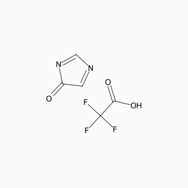 O=C(O)C(F)(F)F.O=C1C=NC=N1